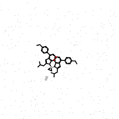 CCc1ccc(-c2cccc3c2C=C(CC(C)C)[CH]3[Zr+2]2([CH]3C(CC(C)C)=Cc4c(-c5ccc(CC)cc5)cccc43)[CH2][CH2]2)cc1.[Cl-].[Cl-]